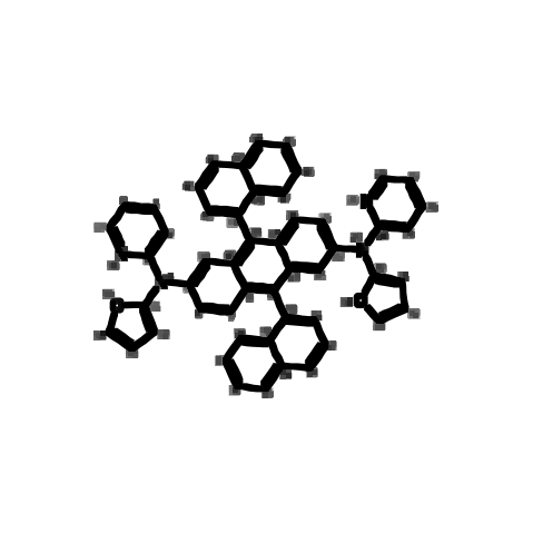 c1ccc(N(c2ccc3c(-c4cccc5ccccc45)c4cc(N(c5ccccn5)c5ccco5)ccc4c(-c4cccc5ccccc45)c3c2)c2ccco2)nc1